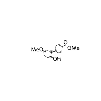 COC(=O)c1ccc([C@@H]2C[C@@H](OC)CC[C@@H]2O)cc1